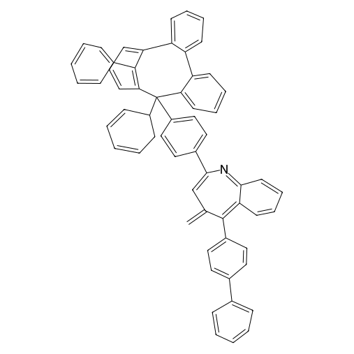 C=C1C=C(c2ccc(C3(C4C=CC=CC4)c4ccccc4-c4ccccc4-c4cccc3c4-c3ccccc3)cc2)N=c2ccccc2=C1c1ccc(-c2ccccc2)cc1